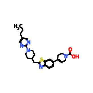 CCCc1cnc(N2CCC(Cc3nc4ccc(C5=CCN(C(=O)O)CC5)cc4s3)CC2)nc1